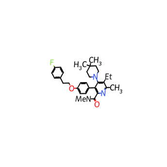 CCc1c(C)nc(C(=O)NC)c(-c2ccc(OCCc3ccc(F)cc3)cc2)c1N1CCC(C)(C)CC1